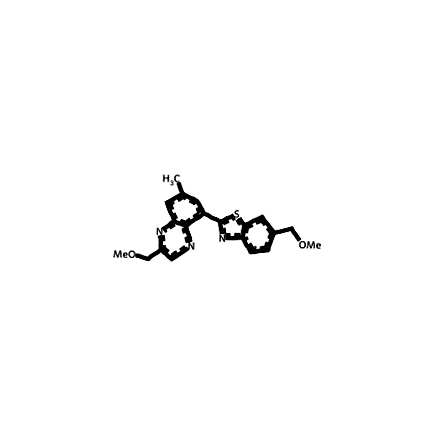 COCc1ccc2nc(-c3cc(C)cc4nc(COC)cnc34)sc2c1